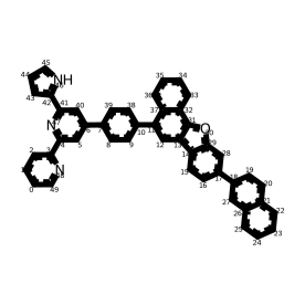 c1ccc(-c2cc(-c3ccc(-c4cc5c6ccc(-c7ccc8ccccc8c7)cc6oc5c5ccccc45)cc3)cc(-c3ccc[nH]3)n2)nc1